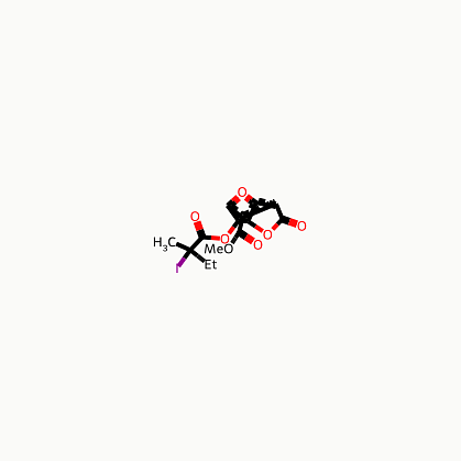 CCC(C)(I)C(=O)Oc1c2c3oc1c(C(=O)OC)c3C(=O)O2